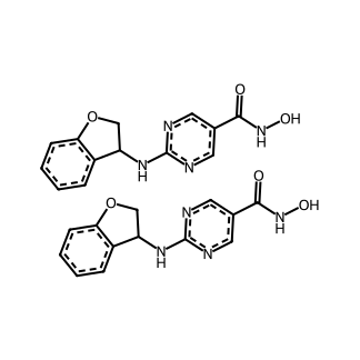 O=C(NO)c1cnc(NC2COc3ccccc32)nc1.O=C(NO)c1cnc(NC2COc3ccccc32)nc1